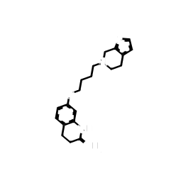 C=C1CCc2ccc(OCCCCN3CCc4ccsc4C3)cc2N1